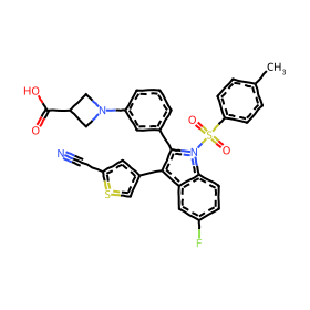 Cc1ccc(S(=O)(=O)n2c(-c3cccc(N4CC(C(=O)O)C4)c3)c(-c3csc(C#N)c3)c3cc(F)ccc32)cc1